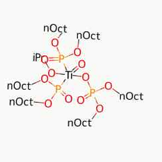 CCCCCCCCOP(=O)(OCCCCCCCC)[O][Ti](=[O])([O]C(C)C)([P](=O)(OCCCCCCCC)OCCCCCCCC)[P](=O)(OCCCCCCCC)OCCCCCCCC